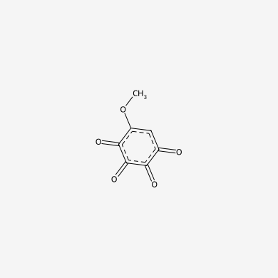 COc1cc(=O)c(=O)c(=O)c1=O